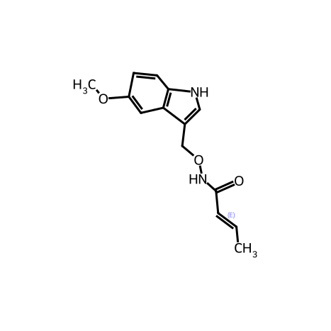 C/C=C/C(=O)NOCc1c[nH]c2ccc(OC)cc12